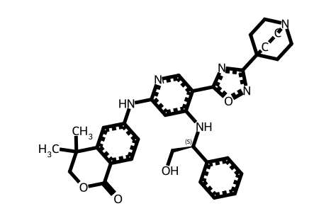 CC1(C)COC(=O)c2ccc(Nc3cc(N[C@H](CO)c4ccccc4)c(-c4nc(C56CCN(CC5)CC6)no4)cn3)cc21